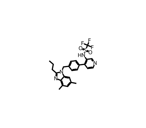 CCCc1nc2c(C)cc(C)cc2n1Cc1ccc(-c2ccncc2NS(=O)(=O)C(F)(F)F)cc1